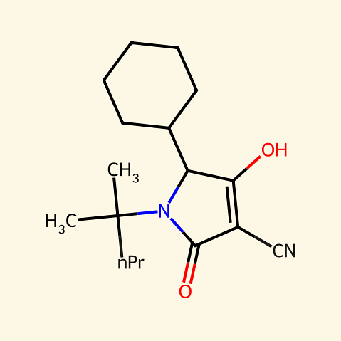 CCCC(C)(C)N1C(=O)C(C#N)=C(O)C1C1CCCCC1